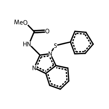 COC(=O)Nc1nc2ccccc2n1Sc1ccccc1